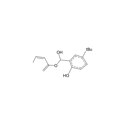 C=C(/C=C\C)OC(O)c1cc(C(C)(C)C)ccc1O